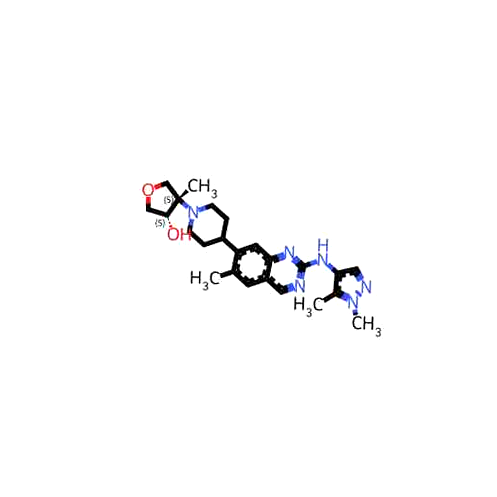 Cc1cc2cnc(Nc3cnn(C)c3C)nc2cc1C1CCN([C@@]2(C)COC[C@H]2O)CC1